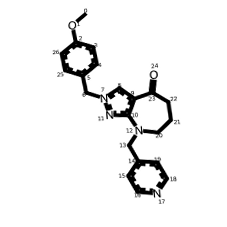 COc1ccc(Cn2cc3c(n2)N(Cc2ccncc2)CCCC3=O)cc1